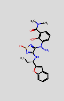 CC[C@@H](Nc1n[s+]([O-])nc1N(N)c1cccc(C(=O)N(C)C)c1O)c1cc2ccccc2o1